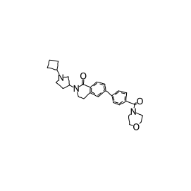 O=C(c1ccc(-c2ccc3c(c2)CCN(C2CCN(C4CCC4)C2)C3=O)cc1)N1CCOCC1